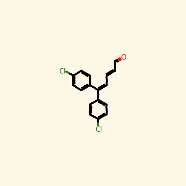 O=CC=CC=C(c1ccc(Cl)cc1)c1ccc(Cl)cc1